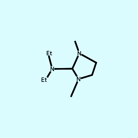 CCN(CC)C1N(C)CCN1C